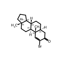 C[C@@]12CCC[C@H]1[C@@H]1CC[C@H]3CC(=O)C(Br)=C[C@]3(C)[C@H]1CC2